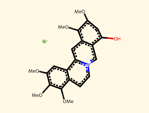 COc1cc2c(cc[n+]3cc4c(O)cc(OC)c(OC)c4cc23)c(OC)c1OC.[Br-]